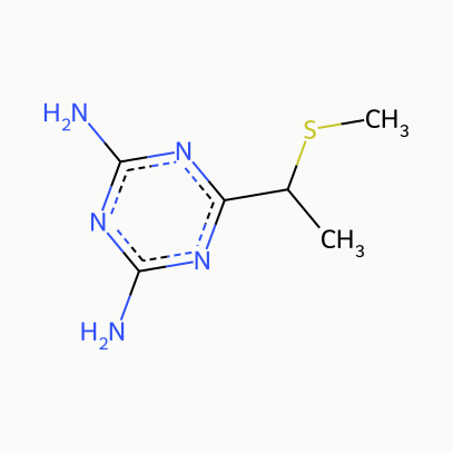 CSC(C)c1nc(N)nc(N)n1